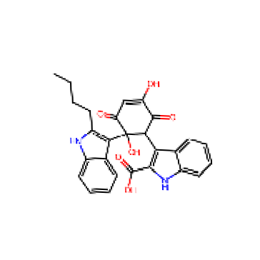 CCCCc1[nH]c2ccccc2c1C1(O)C(=O)C=C(O)C(=O)C1c1c(C(=O)O)[nH]c2ccccc12